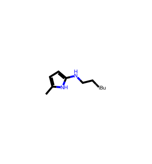 CCC(C)CCNc1ccc(C)[nH]1